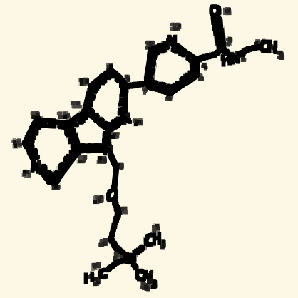 CNC(=O)c1ccc(-c2ccc3c4ccncc4n(COCC[Si](C)(C)C)c3n2)cn1